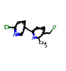 Cc1nc(-c2ccc(Cl)nc2)ccc1CCl